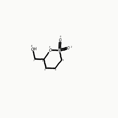 O=S1(=O)CCCC(CO)O1